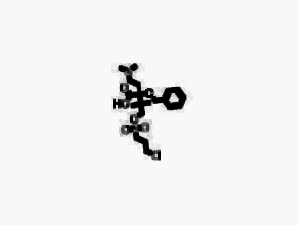 CN(C)CC[C@](OCc1ccccc1)(C(=O)O)C(C)(C)COS(=O)(=O)CCCCl